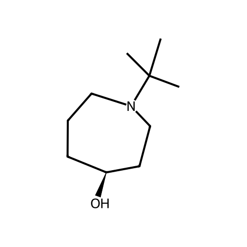 CC(C)(C)N1CCC[C@H](O)CC1